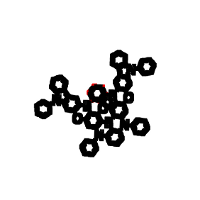 c1ccc(N2c3cccc4c3B(c3c2cc2c5c3Oc3ccccc3B5c3cc5c6ccccc6n(-c6ccccc6)c5cc3O2)c2c(cc3c5c2Oc2ccccc2B5c2cc5c6ccccc6n(-c6ccccc6)c5cc2O3)N4c2ccccc2)cc1